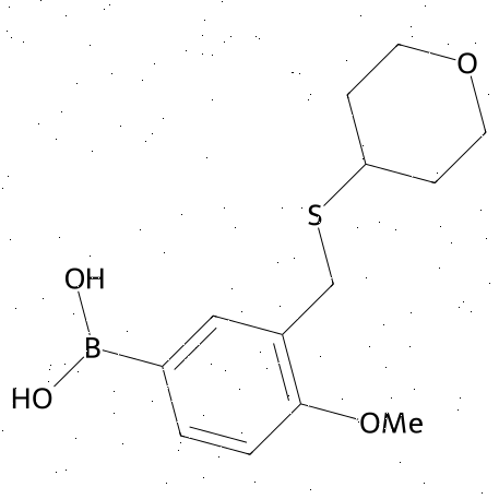 COc1ccc(B(O)O)cc1CSC1CCOCC1